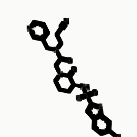 N#CCCN(Cc1cccnc1)C(=O)CN1CCC[C@H](NS(=O)(=O)c2cc3ccc(Cl)cc3s2)C1=O